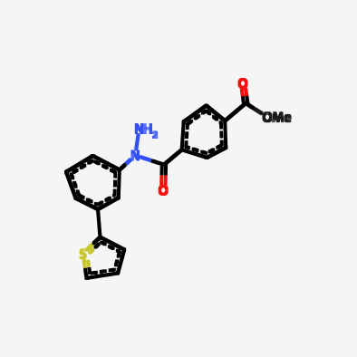 COC(=O)c1ccc(C(=O)N(N)c2cccc(-c3cccs3)c2)cc1